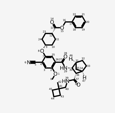 COc1cc(C#N)c(O[C@H]2CC[C@@H](C(=O)OCc3ccccc3)CC2)cc1C(=O)N[C@@H]1[C@H]2CC[C@H](C2)[C@@H]1C(=O)NCC1(C)CCC1